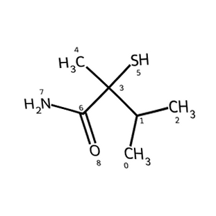 CC(C)C(C)(S)C(N)=O